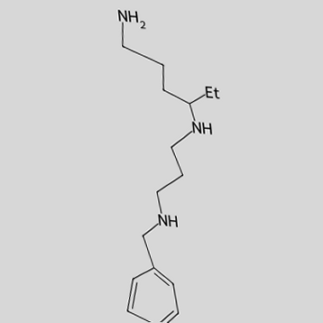 CCC(CCCN)NCCCNCc1ccccc1